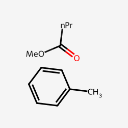 CCCC(=O)OC.Cc1ccccc1